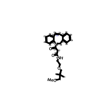 COCC(C)(C)COCCNC(=O)CC(=O)N1Cc2ccccc2/C=C\c2ccccc21